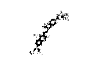 CCN(CC)c1ccc2c(c1)OC(=O)C(CCN1CC3(CCN(C(=O)OC(C)(C)C)CC3)NC1=O)C2C